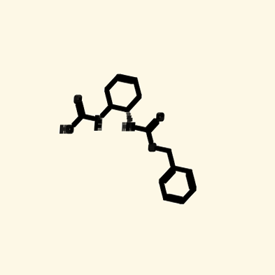 O=C(O)NC1CC=CC[C@@H]1NC(=O)OCc1ccccc1